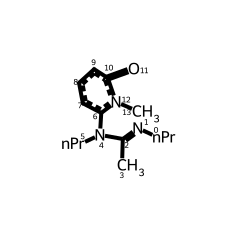 CCCN=C(C)N(CCC)c1cccc(=O)n1C